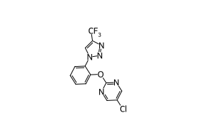 FC(F)(F)c1cn(-c2ccccc2Oc2ncc(Cl)cn2)nn1